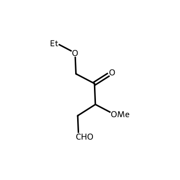 CCOCC(=O)C(CC=O)OC